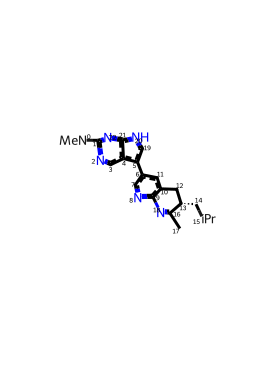 CNc1ncc2c(-c3cnc4c(c3)C[C@H](CC(C)C)C(C)=N4)c[nH]c2n1